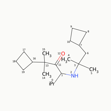 CC(C)C(NC(C)(C)CC1CCC1)C(=O)C(C)(C)C1CCC1